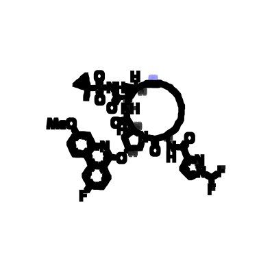 COc1ccc2c(c1)nc(O[C@@H]1C[C@H]3C(=O)N[C@]4(C(=O)NS(=O)(=O)C5(C)CC5)C[C@H]4/C=C\CCCCC[C@H](NC(=O)c4ccn(C(F)F)n4)C(=O)N3C1)c1ccc(F)cc12